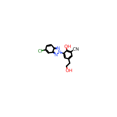 N#Cc1cc(CCO)cc(-n2nc3ccc(Cl)cc3n2)c1O